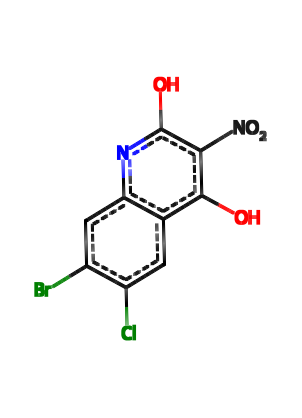 O=[N+]([O-])c1c(O)nc2cc(Br)c(Cl)cc2c1O